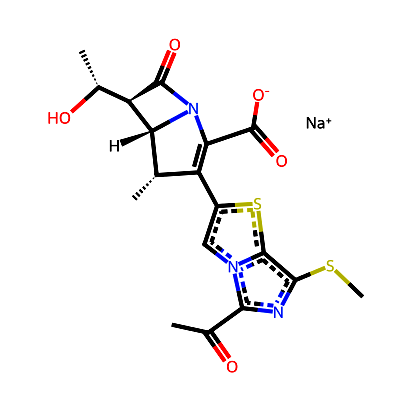 CSc1nc(C(C)=O)n2cc(C3=C(C(=O)[O-])N4C(=O)[C@H]([C@@H](C)O)[C@H]4[C@H]3C)sc12.[Na+]